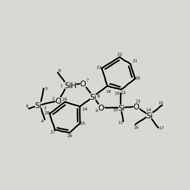 C[SiH](O[Si](C)(C)C)O[Si](O[Si](C)(C)O[Si](C)(C)C)(c1ccccc1)c1ccccc1